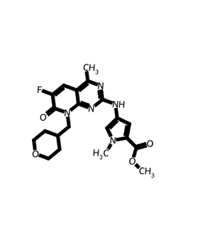 COC(=O)c1cc(Nc2nc(C)c3cc(F)c(=O)n(CC4CCOCC4)c3n2)cn1C